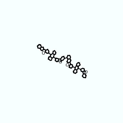 c1ccc2cc3c(cc2c1)oc1cc(-c2c4ccccc4c(-c4ccc5oc6cc(-c7cccc8cc9c(cc78)oc7ccc(-c8c%10ccccc%10c(-c%10ccc%11oc%12ccccc%12c%11c%10)c%10ccccc8%10)cc79)ccc6c5c4)c4ccccc24)ccc13